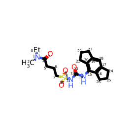 CCN(C)C(=O)CCCS(=O)(=O)NC(=O)Nc1c2c(cc3c1CCC3)CCC2